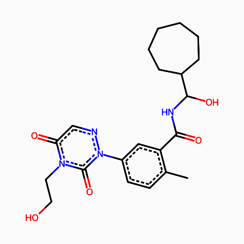 Cc1ccc(-n2ncc(=O)n(CCO)c2=O)cc1C(=O)NC(O)C1CCCCCC1